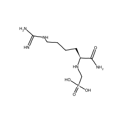 N=C(N)NCCCC[C@H](NCP(=O)(O)O)C(N)=O